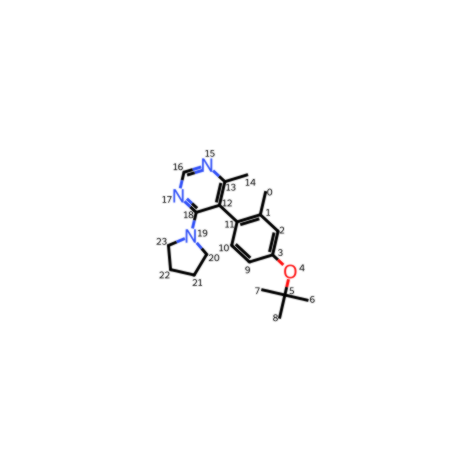 Cc1cc(OC(C)(C)C)ccc1-c1c(C)ncnc1N1CCCC1